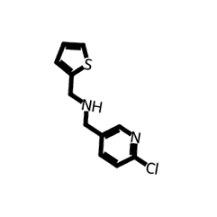 Clc1ccc(CNCc2cccs2)cn1